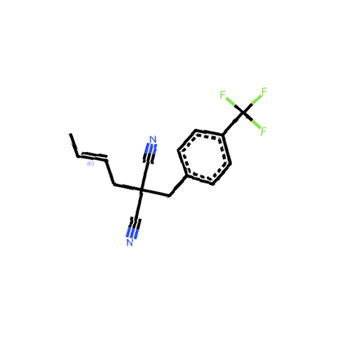 C/C=C/CC(C#N)(C#N)Cc1ccc(C(F)(F)F)cc1